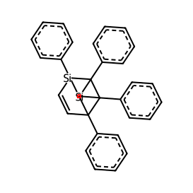 C1=C[Si]2(c3ccccc3)CCC1(c1ccccc1)C(c1ccccc1)=[Si]2c1ccccc1